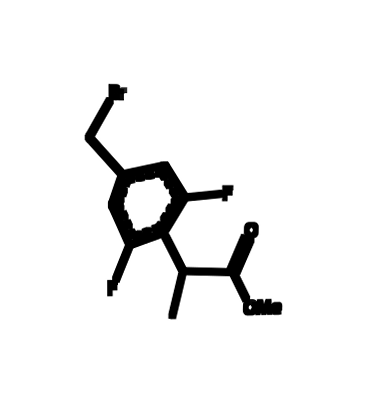 COC(=O)C(C)c1c(F)cc(CBr)cc1F